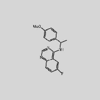 COc1ccc(C(C)Nc2ncnc3ccc(F)cc23)cc1